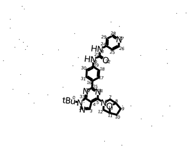 CC(C)(C)n1ncc2c(N3CC4CCC(C3)O4)nc(-c3ccc(NC(=O)Nc4ccncc4)cc3)nc21